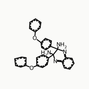 NC1(c2ccc(Oc3ccccc3)cc2)N=c2ccccc2=NC1(N)c1ccc(Oc2ccccc2)cc1